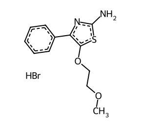 Br.COCCOc1sc(N)nc1-c1ccccc1